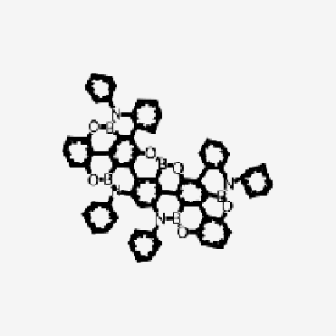 c1ccc(N2B3Oc4cccc5c4-c4c3c(c3c6c4B(O5)N(c4ccccc4)c4cc5c7c(c4-6)B(O3)Oc3c4c6c8c(c3-7)B(Oc3cccc(c3-8)OB6N(c3ccccc3)c3ccccc3-4)N5c3ccccc3)-c3ccccc32)cc1